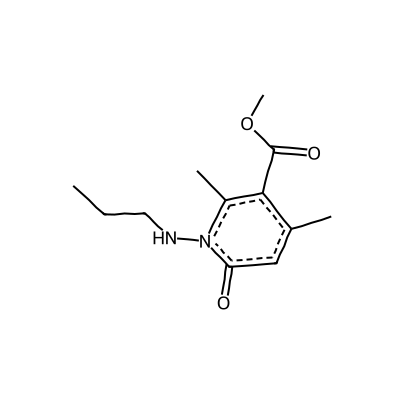 CCCNn1c(C)c(C(=O)OC)c(C)cc1=O